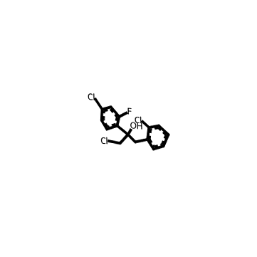 OC(CCl)(Cc1ccccc1Cl)c1ccc(Cl)cc1F